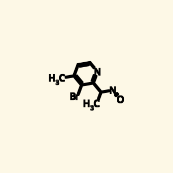 Cc1ccnc(C(C)N=O)c1Br